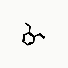 C=Cc1[c]cccc1CC